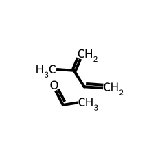 C=CC(=C)C.CC=O